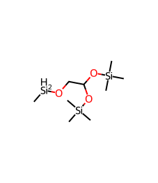 C[SiH2]OCC(O[Si](C)(C)C)O[Si](C)(C)C